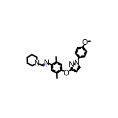 COc1ccc(-n2ccc(Oc3cc(C)c(/N=C/N4CCCCC4)cc3C)n2)cc1